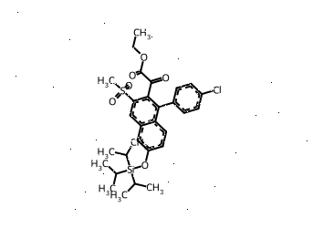 CCOC(=O)C(=O)c1c(S(C)(=O)=O)cc2cc(O[Si](C(C)C)(C(C)C)C(C)C)ccc2c1-c1ccc(Cl)cc1